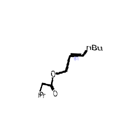 CCCC/C=C/COC(=O)CC(C)C